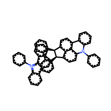 c1ccc(N2c3ccccc3-c3ccc4c5c(ccc2c35)C23c5ccccc5-c5ccccc5C42c2cccc4c2c3cc2c3ccccc3n(-c3ccccc3)c42)cc1